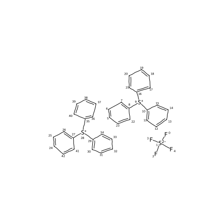 F[S-2](F)(F)F.c1ccc([S+](c2ccccc2)c2ccccc2)cc1.c1ccc([S+](c2ccccc2)c2ccccc2)cc1